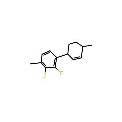 Cc1ccc(C2C=CC(C)CC2)c(F)c1F